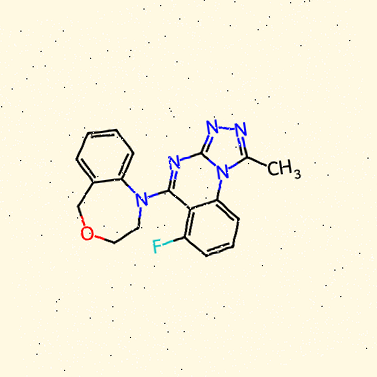 Cc1nnc2nc(N3CCOCc4ccccc43)c3c(F)cccc3n12